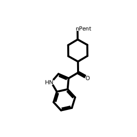 CCCCCC1CCC(C(=O)c2c[nH]c3ccccc23)CC1